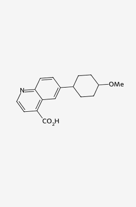 COC1CCC(c2ccc3nccc(C(=O)O)c3c2)CC1